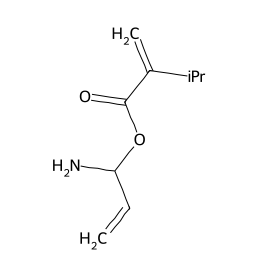 C=CC(N)OC(=O)C(=C)C(C)C